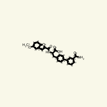 COc1ccc2oc(C(=O)NC(Cc3ccc(-c4cccc(C(N)=O)c4)cc3)C(=O)O)cc2c1